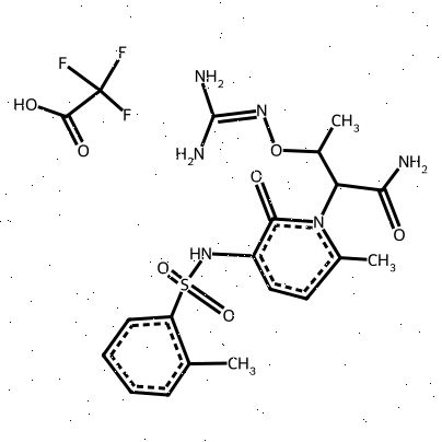 Cc1ccccc1S(=O)(=O)Nc1ccc(C)n(C(C(N)=O)C(C)ON=C(N)N)c1=O.O=C(O)C(F)(F)F